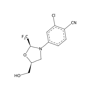 N#Cc1ccc(N2C[C@@H](CO)O[C@H]2C(F)(F)F)cc1Cl